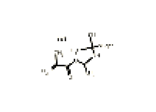 C=C(C)C(=O)OC(C)NC(C)(C)CCCCCCC.Cl